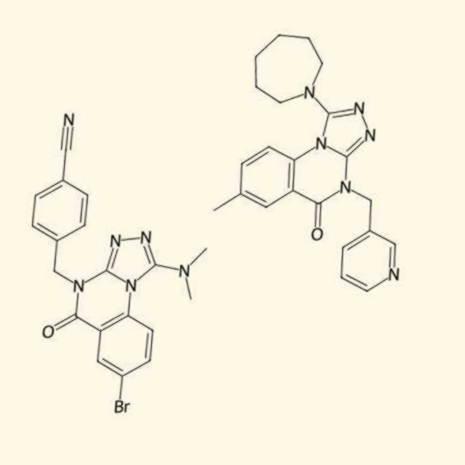 CN(C)c1nnc2n(Cc3ccc(C#N)cc3)c(=O)c3cc(Br)ccc3n12.Cc1ccc2c(c1)c(=O)n(Cc1cccnc1)c1nnc(N3CCCCCC3)n21